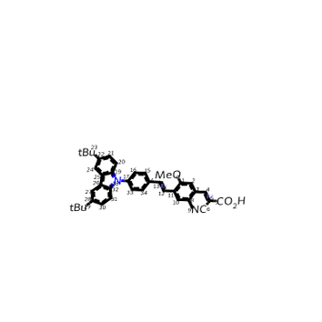 COc1cc(/C=C(\C#N)C(=O)O)c(C)cc1/C=C/c1ccc(-n2c3ccc(C(C)(C)C)cc3c3cc(C(C)(C)C)ccc32)cc1